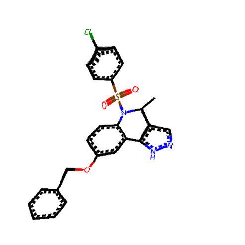 CC1c2cn[nH]c2-c2cc(OCc3ccccc3)ccc2N1S(=O)(=O)c1ccc(Cl)cc1